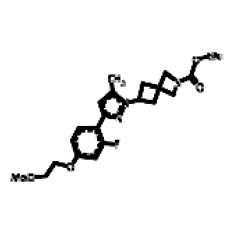 COCCOc1ccc(-c2cc(C)n(C3CC4(C3)CN(C(=O)OC(C)(C)C)C4)n2)c(F)c1